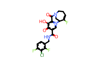 O=C(NCc1ccc(F)c(Cl)c1F)c1cn2c(c(O)c1=O)C(=O)N1CCC=C(F)C2C1